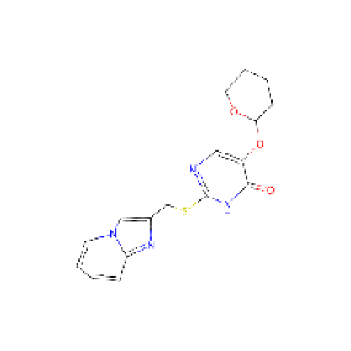 O=c1[nH]c(SCc2cn3ccccc3n2)ncc1OC1CCCCO1